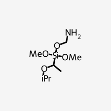 CO[Si](OC)(OCN)C(C)OC(C)C